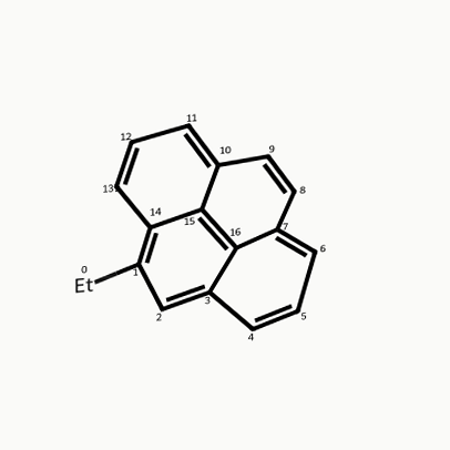 CCc1cc2cccc3ccc4cc[c]c1c4c32